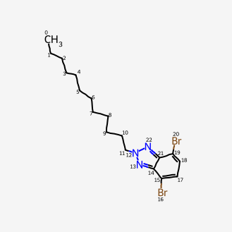 CCCCCCCCCCCCn1nc2c(Br)ccc(Br)c2n1